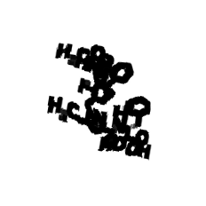 CCc1cc(C(=O)N[C@H](Cc2ccccc2)[C@@H](O)C(=O)O)nn1Cc1ccc(-c2ccccc2S(=O)(=O)NC(C)=O)cc1F